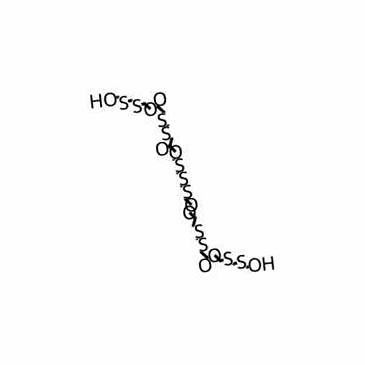 O=C(CSCSCCOOCSCSCSCOC(=O)CSCSCC(=O)OCSCSCO)OCSCSCO